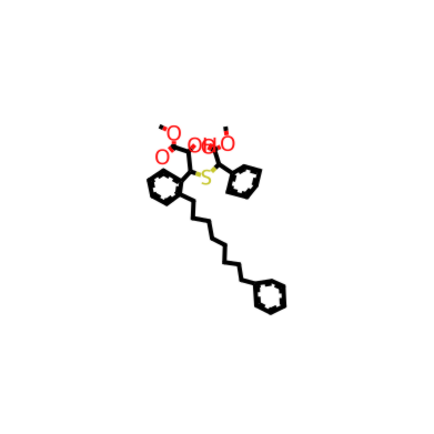 COC(=O)C(SC(c1ccccc1CCCCCCCCc1ccccc1)C(O)C(=O)OC)c1ccccc1